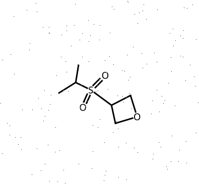 CC(C)S(=O)(=O)C1COC1